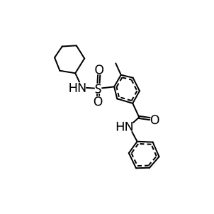 Cc1ccc(C(=O)Nc2ccccc2)cc1S(=O)(=O)NC1CCCCC1